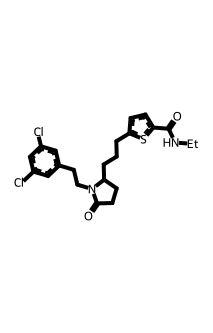 CCNC(=O)c1ccc(CCCC2CCC(=O)N2CCc2cc(Cl)cc(Cl)c2)s1